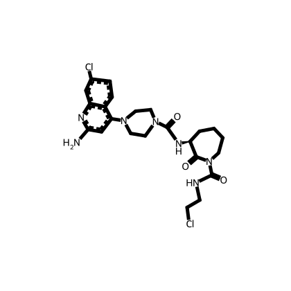 Nc1cc(N2CCN(C(=O)N[C@H]3CCCCN(C(=O)NCCCl)C3=O)CC2)c2ccc(Cl)cc2n1